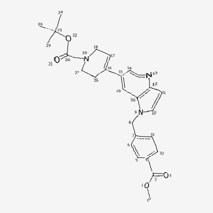 COC(=O)c1ccc(Cn2ccc3ncc(C4=CCN(C(=O)OC(C)(C)C)CC4)cc32)cc1